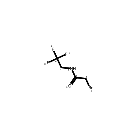 O=C(CBr)NCC(F)(F)F